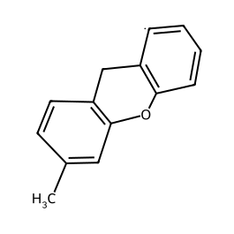 Cc1ccc2c(c1)Oc1ccc[c]c1C2